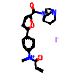 C=CC(=O)[N+](=C)c1ccc(-c2ccc(C(=O)N3CCN4CCC3CC4)o2)cc1.[I-]